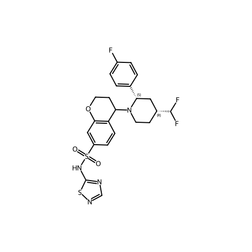 O=S(=O)(Nc1ncns1)c1ccc2c(c1)OCCC2N1CC[C@@H](C(F)F)C[C@H]1c1ccc(F)cc1